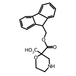 O=C(O)C1(C(=O)OCC2c3ccccc3-c3ccccc32)CNCCO1